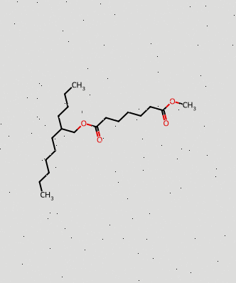 CCCCCCC(CCCC)COC(=O)CCCCCC(=O)OC